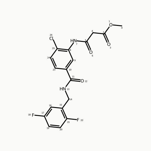 COC(=O)CC(=O)Nc1cc(C(=O)NCc2cc(F)ccc2F)ccc1Cl